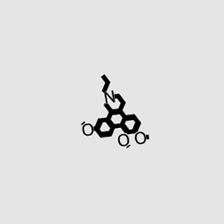 CCCN1CCc2c(c3cc(OC)ccc3c3c(OC)c(OC)ccc23)C1